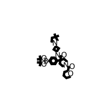 CC1(C)CCN(C2CC(N3C(=O)C4(CCN(C(=O)C5CCCCO5)CC4)c4ccc(B5OC(C)(C)C(C)(C)O5)cc43)C2)C1